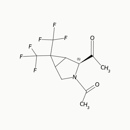 CC(=O)[C@@H]1C2C(CN1C(C)=O)C2(C(F)(F)F)C(F)(F)F